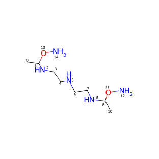 CC(NCCNCCNC(C)ON)ON